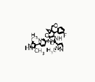 Cc1n[nH]c(C)c1-c1ccc(NC(=O)[C@@H](NC(=O)c2ccnn2C)C2c3cc(F)ccc3OCC23CC3)cn1